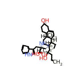 C=CC[C@@](C)(O)[C@H]1CC[C@H]2[C@@H]3CC=C4C[C@@H](O)CC[C@]4(C)[C@H]3CC[C@@]21C[C@](N)(Cc1c[nH]c2ccccc12)C(=O)O